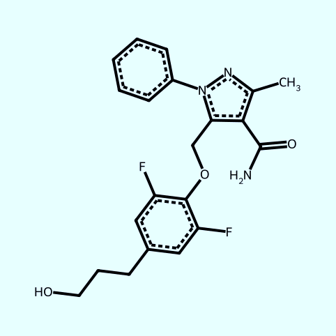 Cc1nn(-c2ccccc2)c(COc2c(F)cc(CCCO)cc2F)c1C(N)=O